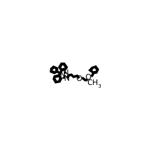 CC(CCOCCCc1ncn(C(c2ccccc2)(c2ccccc2)c2ccccc2)n1)OCc1ccccc1